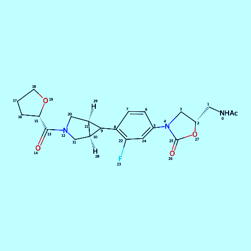 CC(=O)NC[C@H]1CN(c2ccc(C3[C@H]4CN(C(=O)[C@@H]5CCCO5)C[C@@H]34)c(F)c2)C(=O)O1